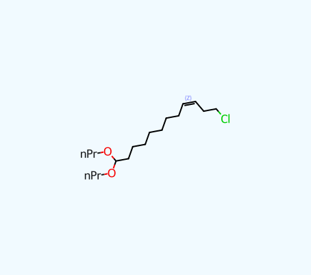 CCCOC(CCCCCCC/C=C\CCCl)OCCC